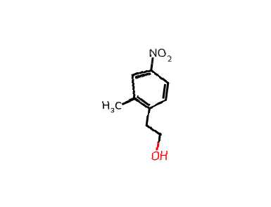 Cc1cc([N+](=O)[O-])ccc1CCO